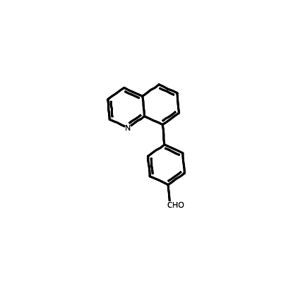 O=Cc1ccc(-c2cccc3cccnc23)cc1